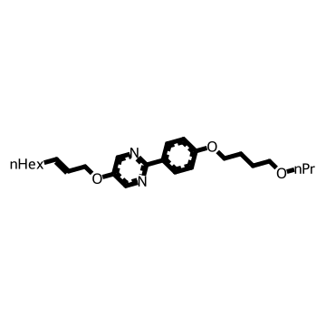 CCCCCCC=CCOc1cnc(-c2ccc(OCCCCOCCC)cc2)nc1